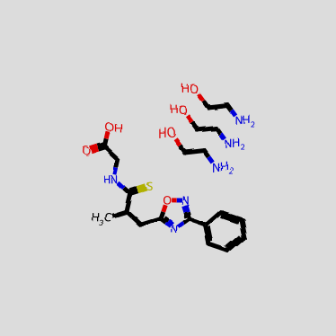 CC(Cc1nc(-c2ccccc2)no1)C(=S)NCC(=O)O.NCCO.NCCO.NCCO